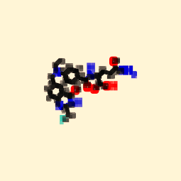 CCN(Cc1ccc2nc(CF)[nH]c(=O)c2c1)c1ccc(C(=O)N[C@@H](CCC(N)=O)C(=O)O)cc1